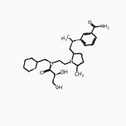 CC(CC1CCC(C)N1CCN(CC1CCCCC1)C(=O)[C@@H](O)CO)c1cccc(C(N)=O)c1